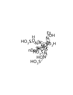 CCCCCCCCCC[N+](C)(C)CCC[Si](OC(CN1CCN(CC(O)CC)CC1)CS(=O)(=O)O)(OC(CN1CCN(CC(O)CS(=O)(=O)O)CC1)CS(=O)(=O)O)OC(CN1CCN(CC(O)CS(=O)(=O)O)CC1)CS(=O)(=O)O